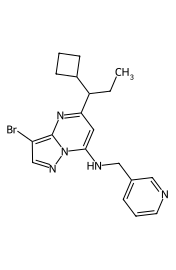 CCC(c1cc(NCc2cccnc2)n2ncc(Br)c2n1)C1CCC1